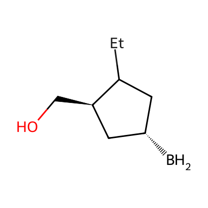 B[C@H]1CC(CC)[C@H](CO)C1